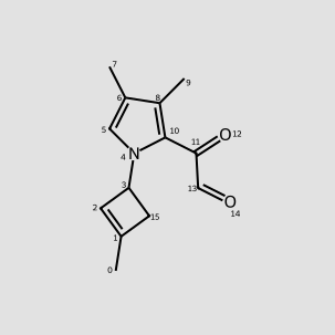 CC1=CC(n2cc(C)c(C)c2C(=O)C=O)C1